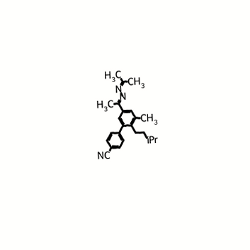 CC(C)=N/N=C(\C)c1cc(C)c(CCC(C)C)c(-c2ccc(C#N)cc2)c1